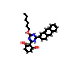 CCCCCCOc1nc(-c2ccc3cc4ccccc4cc3c2)nc(-c2c(O)cccc2O)n1